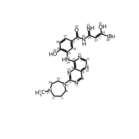 CN1CCCN(c2ncc3ncnc(Nc4cc(C(=O)NC(=N)/C=C(\O)C(C)(C)C)ccc4O)c3n2)CC1